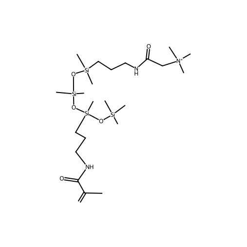 C=C(C)C(=O)NCCC[Si](C)(O[Si](C)(C)C)O[Si](C)(C)O[Si](C)(C)CCCNC(=O)C[N+](C)(C)C